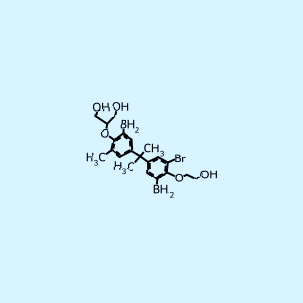 Bc1cc(C(C)(C)c2cc(B)c(OCCO)c(Br)c2)cc(C)c1OC(CO)CO